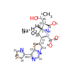 C[C@@H](O)[C@H]1C(=O)N2C(C(=O)[O-])=C(c3cn4cnc(-c5cscn5)c4s3)[C@H](C)[C@H]12.[Na+]